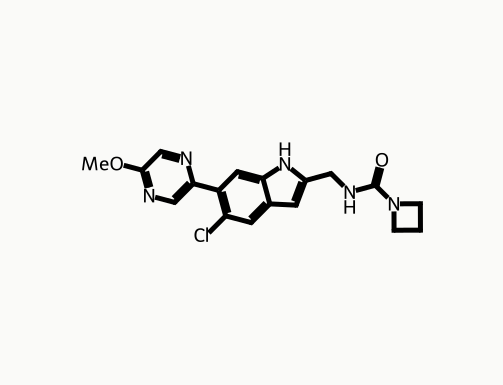 COc1cnc(-c2cc3[nH]c(CNC(=O)N4CCC4)cc3cc2Cl)cn1